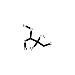 CCOC(OCC)C(C)(C)CCl